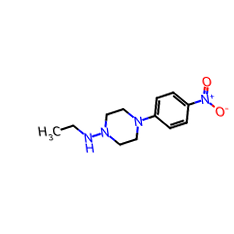 CCNN1CCN(c2ccc([N+](=O)[O-])cc2)CC1